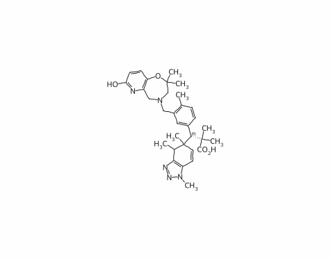 Cc1ccc([C@H](C(C)(C)C(=O)O)C2(C)C=Cc3c(nnn3C)C2C)cc1CN1Cc2nc(O)ccc2OC(C)(C)C1